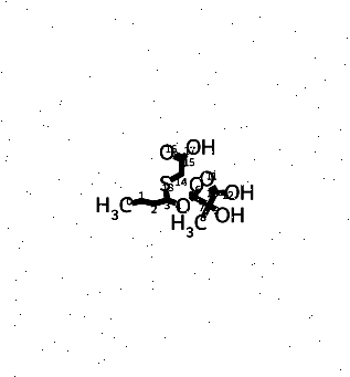 CCCC(OC(=O)C(C)(O)C(=O)O)SCC(=O)O